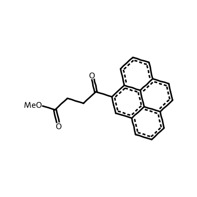 COC(=O)CCC(=O)c1cc2cccc3ccc4cccc1c4c32